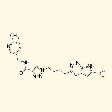 Cc1ccc(CNC(=O)c2cn(CCCCc3cc4cc(C5CC5)[nH]c4nn3)nn2)cn1